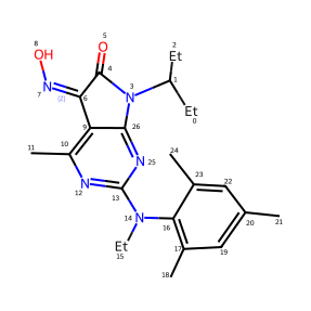 CCC(CC)N1C(=O)/C(=N\O)c2c(C)nc(N(CC)c3c(C)cc(C)cc3C)nc21